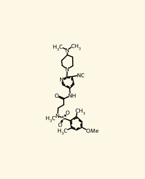 [C-]#[N+]c1cc(NC(=O)CCN(C)S(=O)(=O)c2c(C)cc(OC)cc2C)cnc1N1CCC(N(C)C)CC1